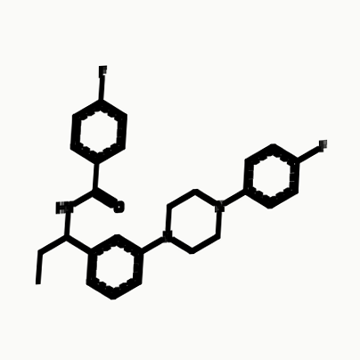 CCC(NC(=O)c1ccc(F)cc1)c1cccc(N2CCN(c3ccc(F)cc3)CC2)c1